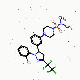 CN(C)S(=O)(=O)N1CCN(c2cccc(C3CC(C(F)(F)C(F)(F)F)=NN3c3ccccc3Cl)c2)CC1